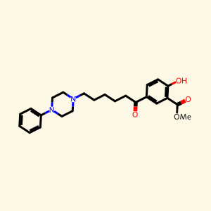 COC(=O)c1cc(C(=O)CCCCCN2CCN(c3ccccc3)CC2)ccc1O